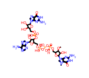 COC1C(COP(=O)(O)OP(=O)(O)OP(=O)(O)OCC2OC(n3cnc4c(N)ncnc43)C(OC)C2OP(=O)(O)OCC2OC(n3cnc4c(=O)[nH]c(N)nc43)C(O)C2O)OC(n2c[n+](C)c3c(=O)[nH]c(N)nc32)C1O